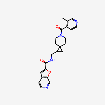 Cc1cnccc1C(=O)N1CCC2(CC1)CC2CNC(=O)c1cc2ccncc2o1